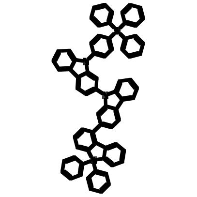 c1ccc([Si](c2ccccc2)(c2ccccc2)c2ccc(-n3c4ccccc4c4ccc(-n5c6ccccc6c6ccc(-c7cccc8c7-c7ccccc7[Si]8(c7ccccc7)c7ccccc7)cc65)cc43)cc2)cc1